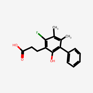 Cc1c(C)c(-c2ccccc2)c(O)c(CCC(=O)O)c1F